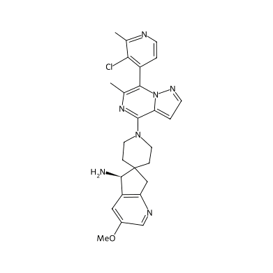 COc1cnc2c(c1)[C@@H](N)C1(CCN(c3nc(C)c(-c4ccnc(C)c4Cl)n4nccc34)CC1)C2